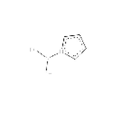 CCCCN(C)n1cccc1